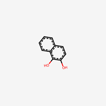 Oc1ccc2ccccc2c1O